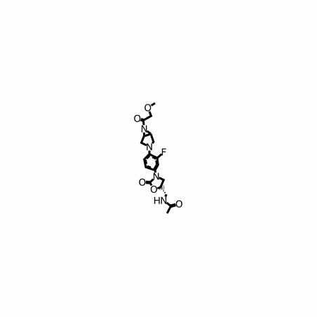 COCC(=O)N1C2CN(c3ccc(N4C[C@H](CNC(C)=O)OC4=O)cc3F)CC21